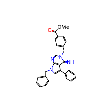 COC(=O)c1ccc(Cn2cnc3c(c(-c4ccccc4)cn3Cc3ccccc3)c2=N)cc1